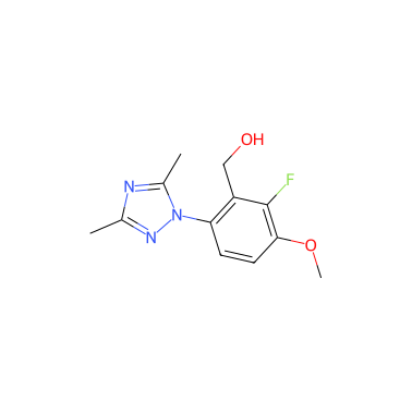 COc1ccc(-n2nc(C)nc2C)c(CO)c1F